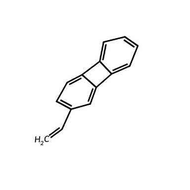 C=Cc1ccc2c(c1)-c1ccccc1-2